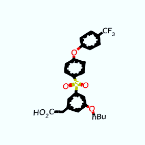 CCCCOc1cc(CC(=O)O)cc(S(=O)(=O)c2ccc(Oc3ccc(C(F)(F)F)cc3)cc2)c1